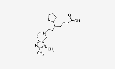 Cc1nc2c(n1C)CN(CCC(CCCC(=O)O)C1CCCC1)CC2